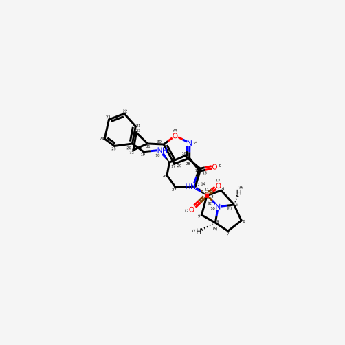 O=C(N[C@H]1C[C@H]2CC[C@@H](C1)N2S(=O)(=O)[C@H]1CC[C@H](NCc2ccccc2)CC1)c1cc(C2CC2)on1